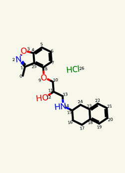 Cc1noc2cccc(OCC(O)CNC3CCc4ccccc4C3)c12.Cl